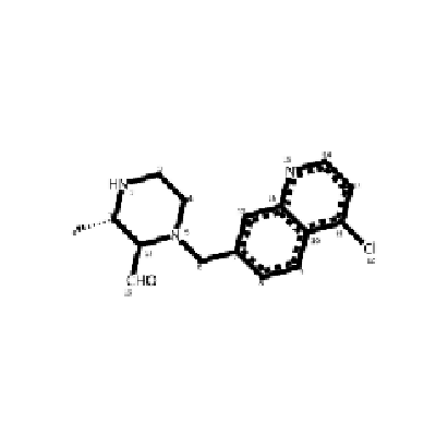 C[C@@H]1NCCN(Cc2ccc3c(Cl)ccnc3c2)C1C=O